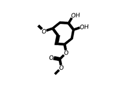 COC(=O)OC1/C=C/C(OC)CC(O)C(O)C1